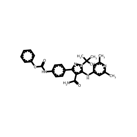 Cc1cc(Nc2c(C(N)=O)c(-c3ccc(NC(=O)Oc4ccccc4)cc3)nn2C(C)(C)C)cc(C)n1